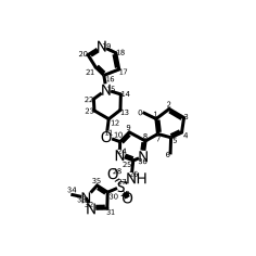 Cc1cccc(C)c1-c1cc(OC2CCN(c3ccncc3)CC2)nc(NS(=O)(=O)c2cnn(C)c2)n1